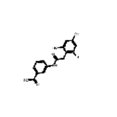 O=C(Cc1c(O)cc(O)cc1O)Nc1cccc(C(=O)O)c1